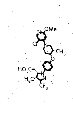 COc1cc(N2CC[C@H](Oc3ccc(N4N=C(C(F)(F)F)[C@@H](C)[C@@H]4CC(=O)O)cc3)[C@@H](C)C2)c(Cl)cn1